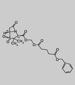 CC1(C)[C@H](C(=O)OCOC(=O)CCCC(=O)OCc2ccccc2)N2C(=O)C[C@H]2S1(=O)=O